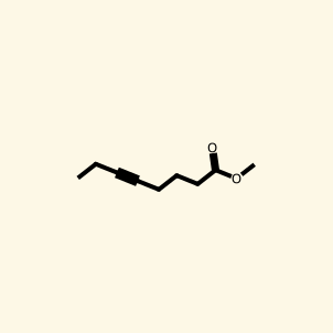 CCC#CCCCC(=O)OC